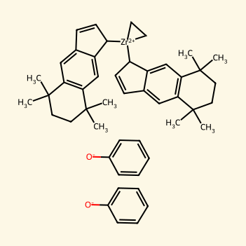 CC1(C)CCC(C)(C)c2cc3c(cc21)C=C[CH]3[Zr+2]1([CH]2C=Cc3cc4c(cc32)C(C)(C)CCC4(C)C)[CH2][CH2]1.[O-]c1ccccc1.[O-]c1ccccc1